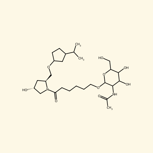 CC(=O)NC1C(OCCCCCC(=O)N2C[C@H](O)C[C@H]2COC2CCC(C(C)C)C2)OC(CO)C(O)C1O